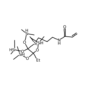 C=CC(=O)NCCC[Si](C)(C)C(O[SiH](C)C)(O[SiH](C)C)C(CC)(O[SiH](C)C)O[SiH](C)C